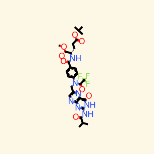 COC(=O)[C@H](CCC(=O)OC(C)(C)C)NC(=O)c1ccc(N(Cc2cnc3nc(NC(=O)C(C)C)[nH]c(=O)c3n2)C(=O)C(F)(F)F)cc1